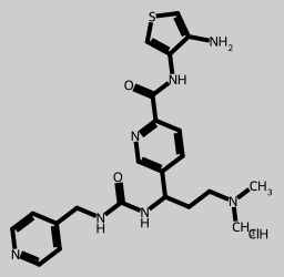 CN(C)CCC(NC(=O)NCc1ccncc1)c1ccc(C(=O)Nc2cscc2N)nc1.Cl